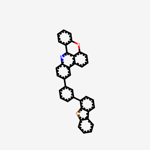 c1cc(-c2ccc3nc4c5c(cccc5c3c2)Oc2ccccc2-4)cc(-c2cccc3c2sc2ccccc23)c1